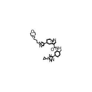 Cc1ccc(-c2nnn(C3CC3)n2)cc1NC(=O)c1cnn2ccc(-c3cnn(CCCN4CCOCC4)c3)cc12